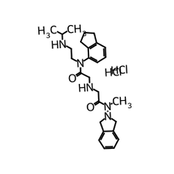 CC(C)NCCN(C(=O)CNCC(=O)N(C)N1Cc2ccccc2C1)c1cccc2c1CCC2.Cl.Cl